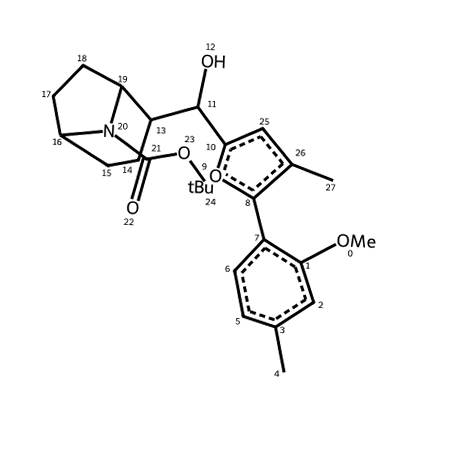 COc1cc(C)ccc1-c1oc(C(O)C2CCC3CCC2N3C(=O)OC(C)(C)C)cc1C